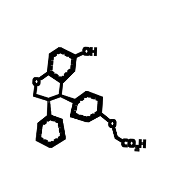 O=C(O)COc1ccc([C@@H]2c3cc(O)ccc3OC[C@@H]2c2ccccc2)cc1